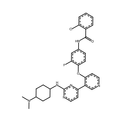 CN(C)C1CCC(Nc2nccc(-c3cnccc3Oc3ccc(NC(=O)c4ccccc4Cl)cc3F)n2)CC1